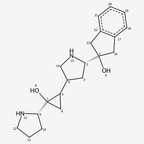 OC1([C@@H]2CC(C3CC3(O)[C@@H]3CCCN3)CN2)Cc2ccccc2C1